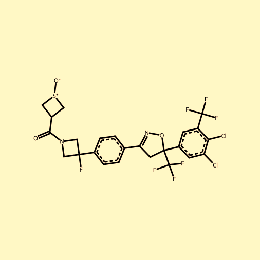 O=C(C1C[S+]([O-])C1)N1CC(F)(c2ccc(C3=NOC(c4cc(Cl)c(Cl)c(C(F)(F)F)c4)(C(F)(F)F)C3)cc2)C1